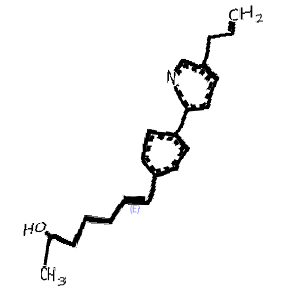 C=CCc1ccc(-c2ccc(/C=C/CCCC(C)O)cc2)nc1